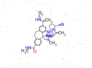 C=C(NC)c1ccc2c(c1)CCc1cc(C(=O)NC)ccc1C2(C[C@H](C)NCC(=C)N1CCCC1C#N)C(=N)N